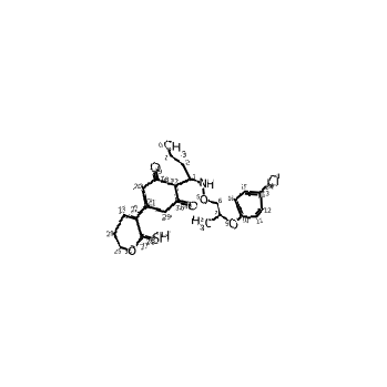 CCCC(NOCC(C)Oc1ccc(Cl)cc1)C1C(=O)CC(C2CCCOC2S)CC1=O